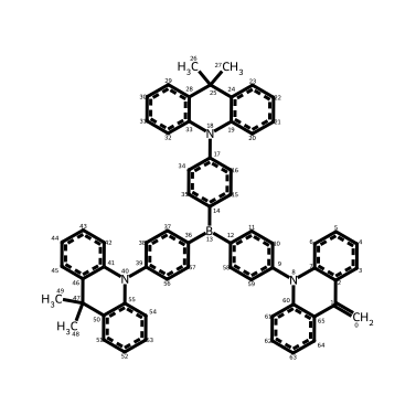 C=C1c2ccccc2N(c2ccc(B(c3ccc(N4c5ccccc5C(C)(C)c5ccccc54)cc3)c3ccc(N4c5ccccc5C(C)(C)c5ccccc54)cc3)cc2)c2ccccc21